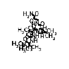 CC(C)[C@H](NC(=O)N[C@H](C(=O)N1C[C@H]2[C@@H]([C@H]1C(=O)NCC(=O)C(N)=O)C2(C)C)C(C)(C)C)C(=O)N(C)C